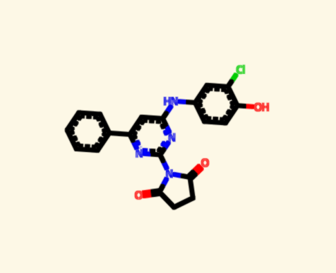 O=C1CCC(=O)N1c1nc(Nc2ccc(O)c(Cl)c2)cc(-c2ccccc2)n1